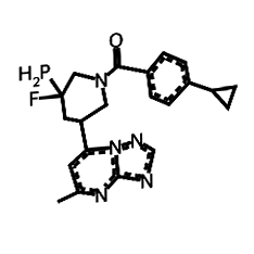 Cc1cc(C2CN(C(=O)c3ccc(C4CC4)cc3)CC(F)(P)C2)n2ncnc2n1